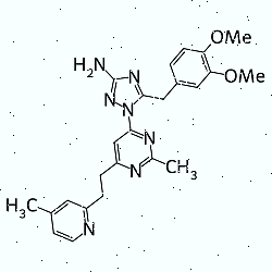 COc1ccc(Cc2nc(N)nn2-c2cc(CCc3cc(C)ccn3)nc(C)n2)cc1OC